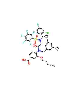 CCCCOc1cc(C(=O)O)ccc1N(Cc1cc(C2CC2)cc(C2CC2)c1)C(=O)CN(Cc1ccc(F)cc1Cl)S(=O)(=O)c1c(F)c(F)c(F)c(F)c1F